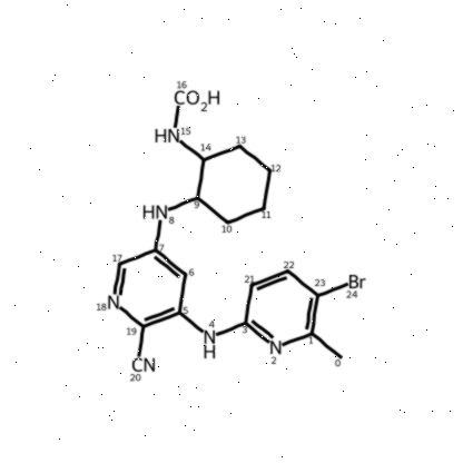 Cc1nc(Nc2cc(NC3CCCCC3NC(=O)O)cnc2C#N)ccc1Br